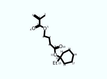 C=C(C)C(=O)OCCCC(=O)OC1(CC)CCCCC1